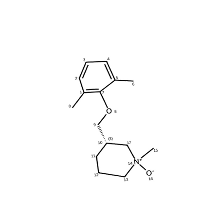 Cc1cccc(C)c1OC[C@H]1CCC[N+](C)([O-])C1